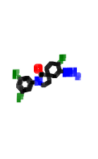 NC1CC2(CCC1F)CCN(c1cc(F)cc(F)c1)C2=O